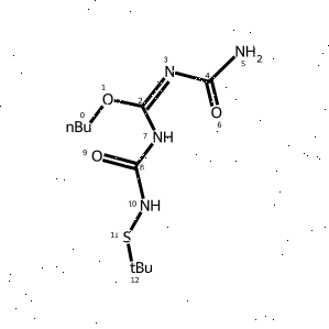 CCCCOC(=NC(N)=O)NC(=O)NSC(C)(C)C